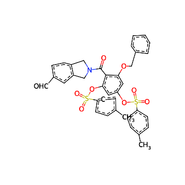 Cc1ccc(S(=O)(=O)Oc2cc(OCc3ccccc3)c(C(=O)N3Cc4ccc(C=O)cc4C3)c(OS(=O)(=O)c3ccc(C)cc3)c2)cc1